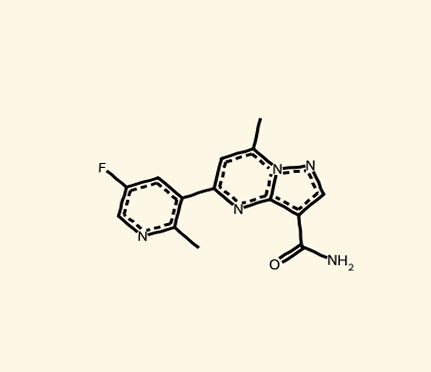 Cc1ncc(F)cc1-c1cc(C)n2ncc(C(N)=O)c2n1